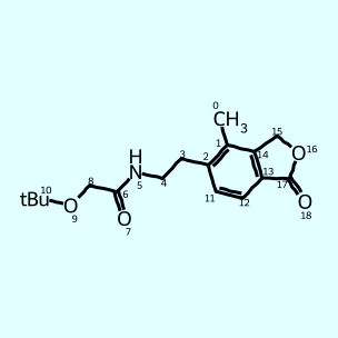 Cc1c(CCNC(=O)COC(C)(C)C)ccc2c1COC2=O